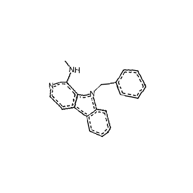 CNc1nccc2c3ccccc3n(Cc3ccccc3)c12